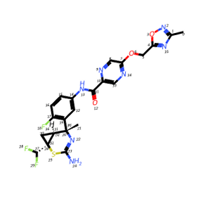 Cc1noc(COc2cnc(C(=O)Nc3ccc(F)c([C@]4(C)N=C(N)S[C@@]5(C(F)F)C[C@@H]45)c3)cn2)n1